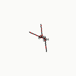 CCCCCCCCCCCCCCCC(=O)N[C@H](C=O)CSCC(COC(=O)CCCCCCCCCCCCCCC)OC(=O)CCCCCCCCCCCCCCC